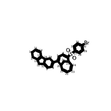 O=S(=O)(C1=CC=C(C2=CC=C3CC4=C(C=CCC4)C3C2)C2C=CC=CC1C2)c1ccc(Br)cc1